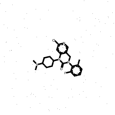 Cc1cccc(F)c1N1Cc2cnc(Cl)cc2N(C2CCC(N(C)C)CC2)C1=O